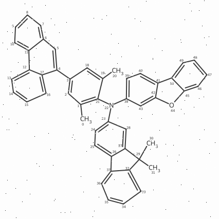 Cc1cc(-c2cc3ccccc3c3ccccc23)cc(C)c1N(c1ccc2c(c1)C(C)(C)c1ccccc1-2)c1ccc2c(c1)oc1ccccc12